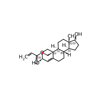 C=CC(=O)OC[C@]12CC[C@H](O)C=C1CC[C@@H]1[C@@H]2CC[C@]2(C)[C@@H](O)CC[C@@H]12